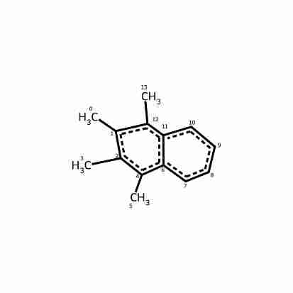 Cc1c(C)c(C)c2ccccc2c1C